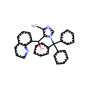 Cc1ncn(C(c2ccccc2)(c2ccccc2)c2ccccc2)c1C(O)c1cccc2cccnc12